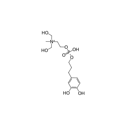 C[N+](CO)(CO)CCOP(=O)(O)OCCCc1ccc(O)c(O)c1